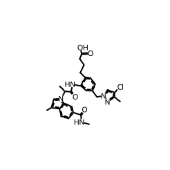 CNC(=O)c1ccc2c(C)cn(C(C)C(=O)Nc3cc(Cn4cc(Cl)c(C)n4)ccc3CCCC(=O)O)c2c1